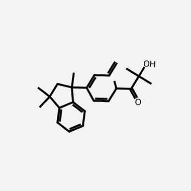 C=C/C=C(\C=C/C(C)C(=O)C(C)(C)O)C1(C)CC(C)(C)c2ccccc21